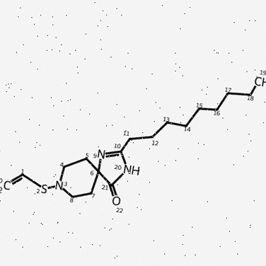 C=CSN1CCC2(CC1)N=C(CCCCCCCCC)NC2=O